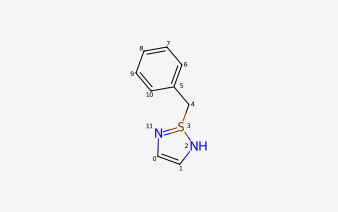 C1=CNS(Cc2ccccc2)=N1